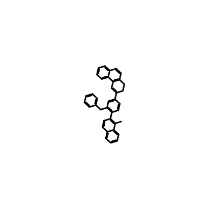 Cc1c(-c2ccc(C3=Cc4c(ccc5ccccc45)CC3)cc2Cc2ccccc2)ccc2ccccc12